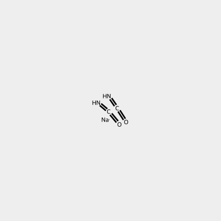 N=C=O.N=C=O.[Na]